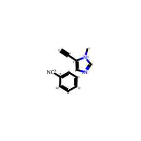 C#Cc1cncn1C.N#Cc1ccccc1